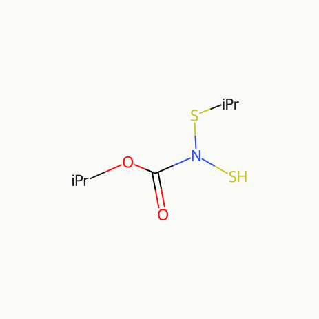 CC(C)OC(=O)N(S)SC(C)C